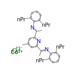 CCCc1cccc(CCC)c1N=C(C)c1cc(C)cc(C(C)=Nc2c(CCC)cccc2CCC)n1.[Cl-].[Cl-].[Co+2]